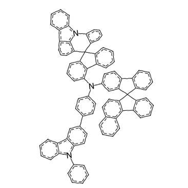 c1ccc(-n2c3ccccc3c3cc(-c4ccc(N(c5ccc6c(c5)C5(c7ccccc7-6)c6ccccc6-c6c5ccc5ccccc65)c5cccc6c5-c5ccccc5C65c6ccccc6-n6c7ccccc7c7cccc5c76)cc4)ccc32)cc1